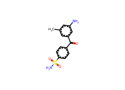 Cc1cc(N)cc(C(=O)c2ccc(S(N)(=O)=O)cc2)c1